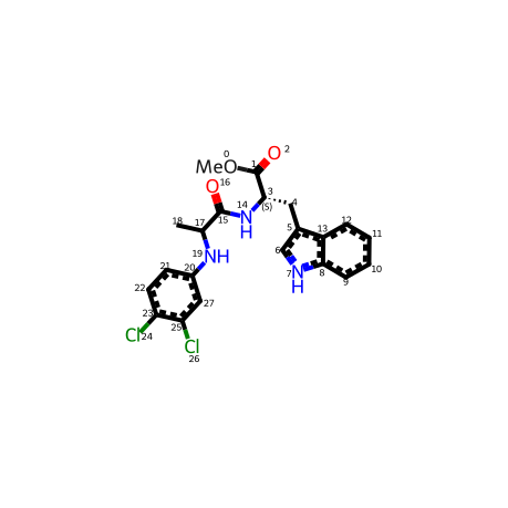 COC(=O)[C@H](Cc1c[nH]c2ccccc12)NC(=O)C(C)Nc1ccc(Cl)c(Cl)c1